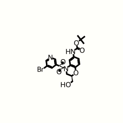 CC(C)(C)OC(=O)Nc1ccc2c(c1)N(S(=O)(=O)c1cncc(Br)c1)C[C@H](CO)O2